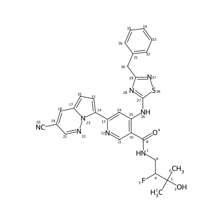 CC(C)(O)C(F)CNC(=O)c1cnc(-c2ccc3cc(C#N)cnn23)cc1Nc1nc(Cc2ccccc2)ns1